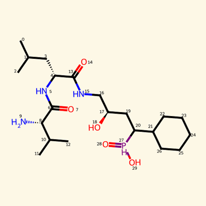 CC(C)C[C@@H](NC(=O)[C@@H](N)C(C)C)C(=O)NC[C@H](O)CC(C1CCCCC1)[PH](=O)O